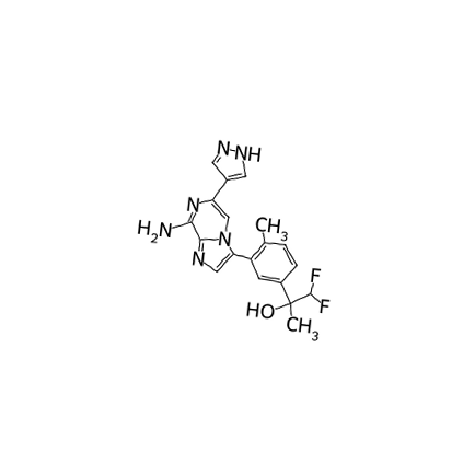 Cc1ccc(C(C)(O)C(F)F)cc1-c1cnc2c(N)nc(-c3cn[nH]c3)cn12